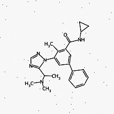 Cc1c(C(=O)NC2CC2)cc(-c2ccccc2)cc1-n1ncnc1C(C)N(C)C